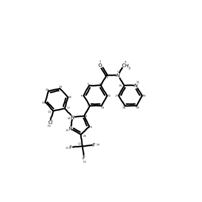 CN(C(=O)c1ccc(-c2cc(C(F)(F)F)nn2-c2ccccc2Cl)cc1)c1ccccn1